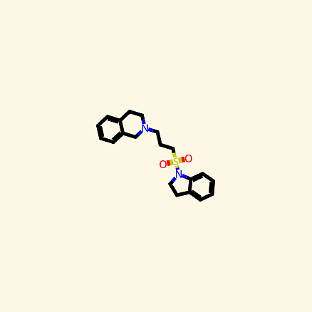 O=S(=O)(CCCN1CCc2ccccc2C1)N1CCc2ccccc21